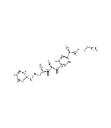 CCCCOC(=O)c1ccc(NC(=S)NC(=O)CCOc2ccccc2)cc1